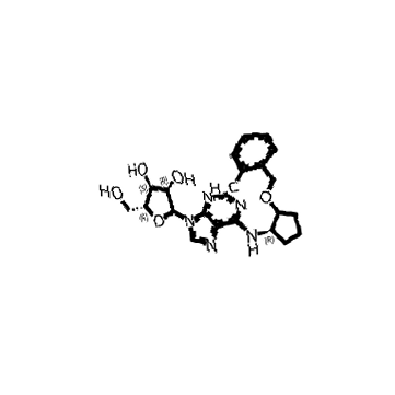 Cc1ccccc1COC1CCC[C@H]1Nc1ncnc2c1ncn2C1O[C@H](CO)[C@@H](O)[C@H]1O